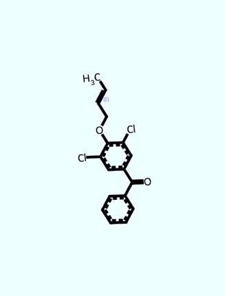 C/C=C/COc1c(Cl)cc(C(=O)c2ccccc2)cc1Cl